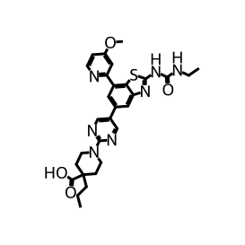 CCCC1(C(=O)O)CCN(c2ncc(-c3cc(-c4cc(OC)ccn4)c4sc(NC(=O)NCC)nc4c3)cn2)CC1